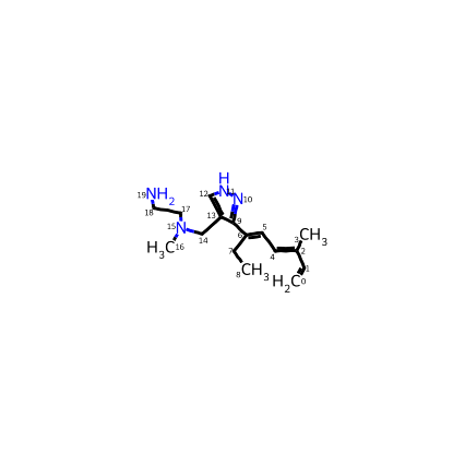 C=C/C(C)=C/C=C(\CC)c1n[nH]cc1CN(C)CCN